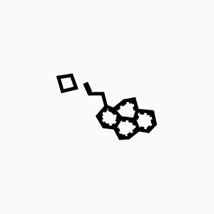 C1CCC1.C=CCc1ccc2ccc3cccc4ccc1c2c34